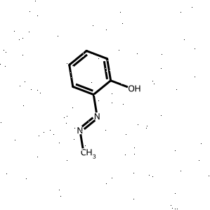 CN=Nc1ccccc1O